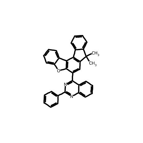 CC1(C)c2ccccc2-c2c1cc(-c1nc(-c3ccccc3)nc3ccccc13)c1oc3ccccc3c21